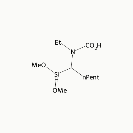 CCCCCC(N(CC)C(=O)O)[SiH](OC)OC